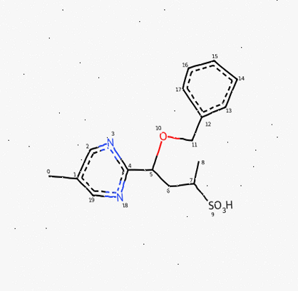 Cc1cnc(C(CC(C)S(=O)(=O)O)OCc2ccccc2)nc1